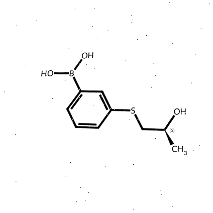 C[C@H](O)CSc1cccc(B(O)O)c1